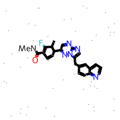 CNC(=O)C1=C(F)C(C)C(c2cnc3ncc(Cc4ccc5ncccc5c4)n3n2)C=C1